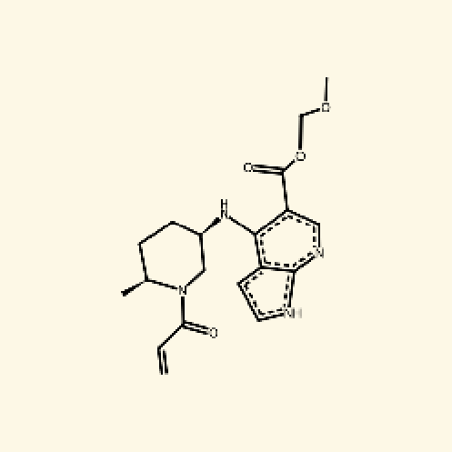 C=CC(=O)N1C[C@H](Nc2c(C(=O)OCOC)cnc3[nH]ccc23)CC[C@@H]1C